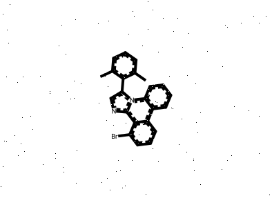 Cc1cccc(C)c1-c1cnc2c3c(Br)cccc3c3ccccc3n12